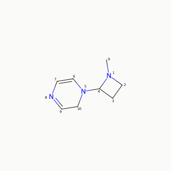 CN1CCC1N1C=CN=CC1